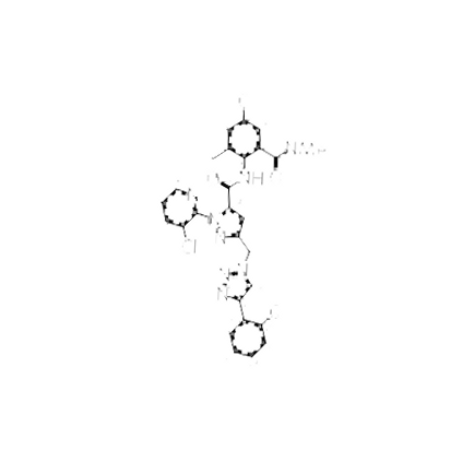 CNC(=O)c1cc(Cl)cc(C)c1NC(=O)c1cc(Cn2cc(-c3ccccc3Cl)nn2)nn1-c1ncccc1Cl